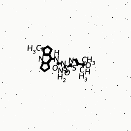 C[C@@H]1CCc2c1nc1c(c2NC(=O)N=S(N)(=O)c2ncc(C(C)(C)O)s2)CCC1